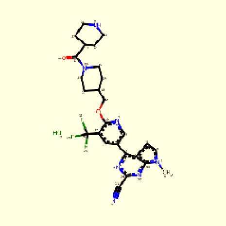 Cl.Cn1ccc2c(-c3cnc(OCC4CCN(C(=O)C5CCNCC5)CC4)c(C(F)(F)F)c3)nc(C#N)nc21